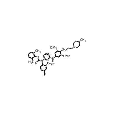 COc1cc(Nc2nccc(N(C(=O)Oc3c(C)cccc3C)c3ccc(F)cc3OC(C)C)n2)cc(OC)c1OCCCN1CCN(C)CC1